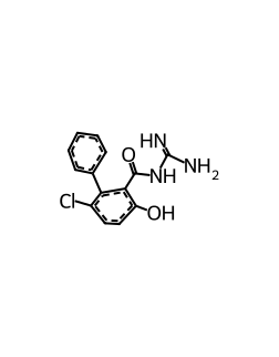 N=C(N)NC(=O)c1c(O)ccc(Cl)c1-c1ccccc1